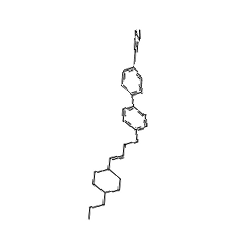 CCCC1CCC(C=CCCc2ccc(-c3ccc(C#N)cc3)cc2)CC1